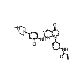 C=CC(=O)Nc1cccc(-n2cnc(=O)c3cnc(Nc4ccc(N5CCN(C)CC5)cc4Cl)nc32)c1